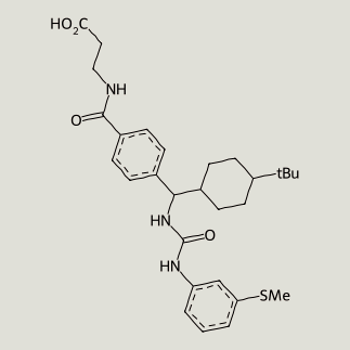 CSc1cccc(NC(=O)NC(c2ccc(C(=O)NCCC(=O)O)cc2)C2CCC(C(C)(C)C)CC2)c1